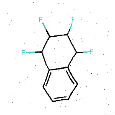 FC1c2ccccc2C(F)C(F)C1F